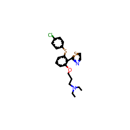 CCN(CC)CCCOc1cccc(Sc2ccc(Cl)cc2)c1-c1nccs1